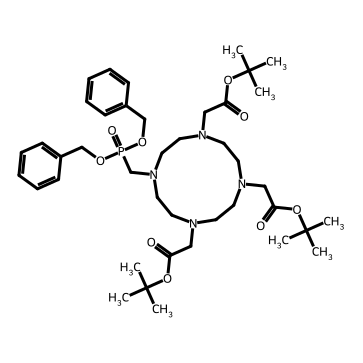 CC(C)(C)OC(=O)CN1CCN(CC(=O)OC(C)(C)C)CCN(CP(=O)(OCc2ccccc2)OCc2ccccc2)CCN(CC(=O)OC(C)(C)C)CC1